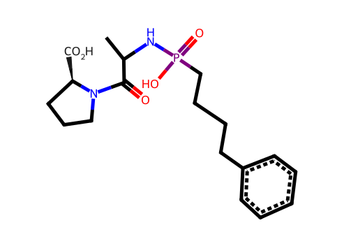 CC(NP(=O)(O)CCCCc1ccccc1)C(=O)N1CCC[C@H]1C(=O)O